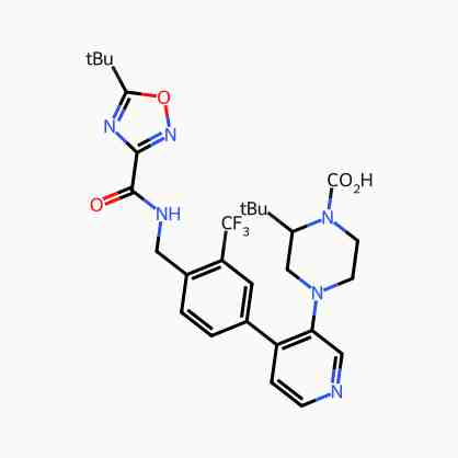 CC(C)(C)c1nc(C(=O)NCc2ccc(-c3ccncc3N3CCN(C(=O)O)C(C(C)(C)C)C3)cc2C(F)(F)F)no1